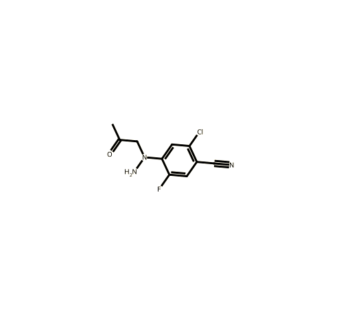 CC(=O)CN(N)c1cc(Cl)c(C#N)cc1F